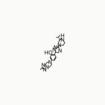 Cc1nc2n(n1)CCN(c1ccc(-c3cnc(N4CCN[C@@H](C(C)C)C4)nn3)c(O)c1)C2